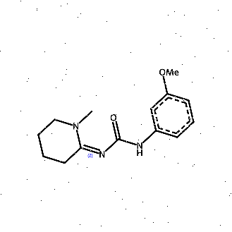 COc1cccc(NC(=O)/N=C2/CCCCN2C)c1